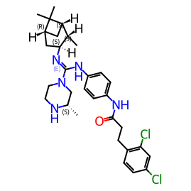 C[C@@H]1[C@@H](/N=C(\Nc2ccc(NC(=O)CCc3ccc(Cl)cc3Cl)cc2)N2CCN[C@@H](C)C2)C[C@H]2C[C@@H]1C2(C)C